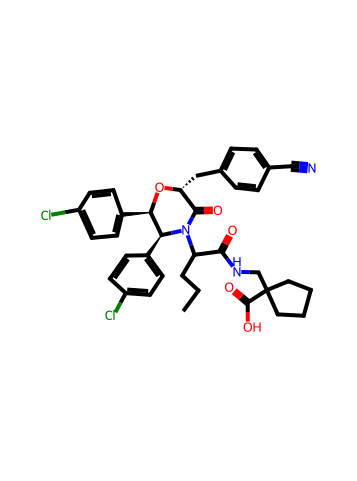 CCCC(C(=O)NCC1(C(=O)O)CCCC1)N1C(=O)[C@@H](Cc2ccc(C#N)cc2)O[C@H](c2ccc(Cl)cc2)[C@@H]1c1ccc(Cl)cc1